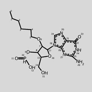 CCCCCCOC1C(O[PH](=O)O)C(CO)OC1n1cnc2c(=O)[nH]c(N)nc21